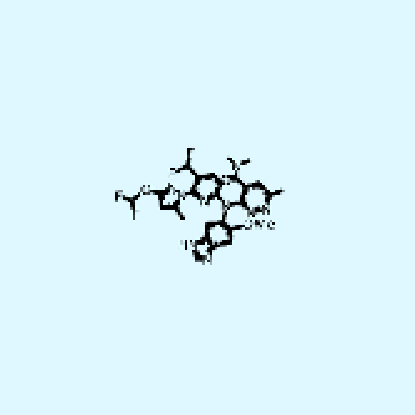 COc1cc2nc[nH]c2cc1N(c1ccc(C(F)F)c(-n2nc(OC(F)F)cc2C)n1)c1nnc(C)cc1C(=O)N(C)C